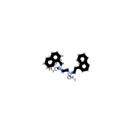 CN(CCc1cccc2ccccc12)CCN(C)Cc1cccc2ccccc12